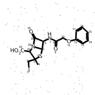 CC1(CI)SC2C(NC(=O)COc3ccccc3)C(=O)N2C1C(=O)O